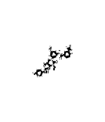 CCN1C(=O)N(c2cc(NC(=O)c3cccc(C(F)(F)F)c3)cc(OC)c2)Cc2cnc(Nc3ccc(C)nc3)nc21